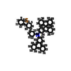 c1cc(-c2ccc3sc4ccccc4c3c2)cc(N(c2ccc3c(c2)-c2ccccc2C32c3ccccc3-c3ccccc32)c2ccc3c4ccccc4c4ccccc4c3c2)c1